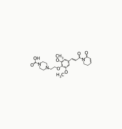 COc1cc(C=CC(=O)N2CCC=CC2=O)cc(OC)c1OCCN1CCN(C(=O)O)CC1